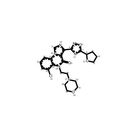 O=c1c2c(-c3noc(C4CCCO4)n3)ncn2c2cccc(Cl)c2n1CCN1CCOCC1